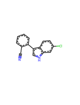 N#Cc1ccccc1-c1c[nH]c2cc(Cl)ccc12